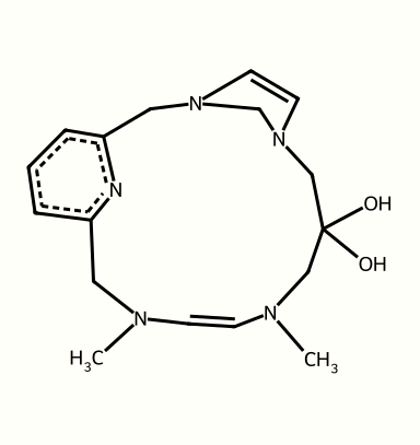 CN1/C=C\N(C)CC(O)(O)CN2C=CN(Cc3cccc(n3)C1)C2